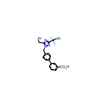 CCCC(F)(F)c1nc(CC(C)C)n(Cc2ccc(-c3cccc(C(=O)O)c3)cc2)n1